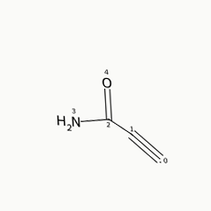 [C]#CC(N)=O